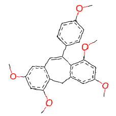 COc1ccc(C2=Cc3cc(OC)cc(OC)c3Cc3cc(OC)cc(OC)c32)cc1